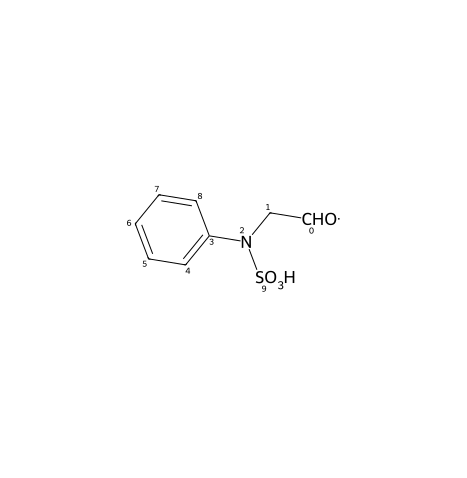 O=[C]CN(c1ccccc1)S(=O)(=O)O